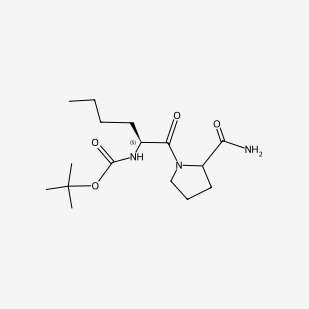 CCCC[C@H](NC(=O)OC(C)(C)C)C(=O)N1CCCC1C(N)=O